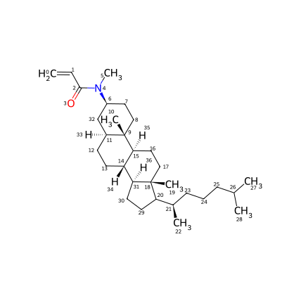 C=CC(=O)N(C)[C@H]1CC[C@@]2(C)[C@@H](CC[C@@H]3[C@@H]2CC[C@]2(C)C([C@H](C)CCCC(C)C)CC[C@@H]32)C1